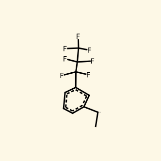 C[CH]c1cccc(C(F)(F)C(F)(F)C(F)(F)F)c1